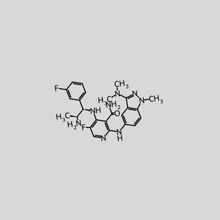 C[C@H](N)[C@H](Nc1c(F)cnc(Nc2ccc3c(c2)c(N(C)C)nn3C)c1C(N)=O)c1cccc(F)c1